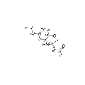 CCOC(=O)C[C@H](N/C(C)=C/C(C)=O)C(C)=O